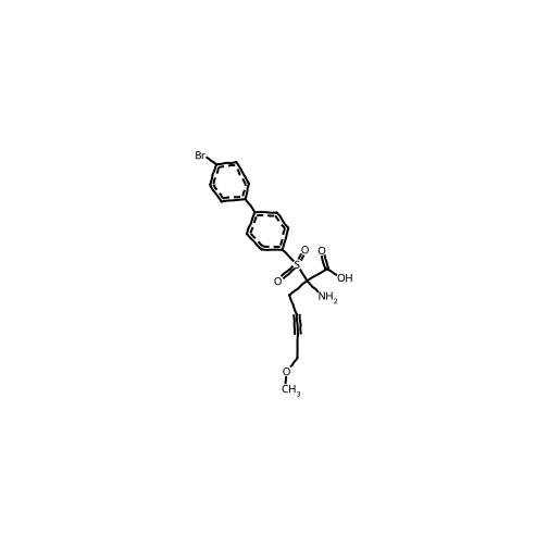 COCC#CCC(N)(C(=O)O)S(=O)(=O)c1ccc(-c2ccc(Br)cc2)cc1